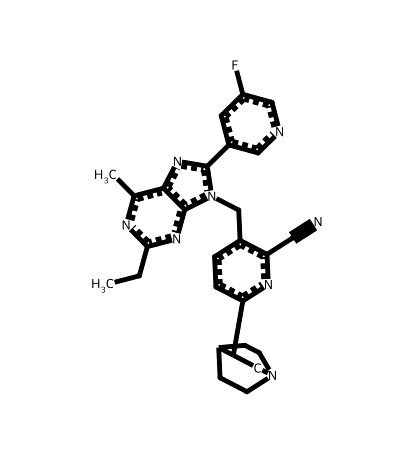 CCc1nc(C)c2nc(-c3cncc(F)c3)n(Cc3ccc(C4CN5CCC4CC5)nc3C#N)c2n1